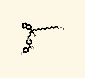 CCCCCCCCCCCCC(C#N)(CCCN1CCC(C(=O)c2ccc(F)cc2)CC1)c1ccc2ccccc2c1